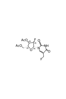 CC(=O)OC[C@H]1O[C@@H](n2cc(CF)c(=O)[nH]c2=O)[C@H](F)[C@@H]1OC(C)=O